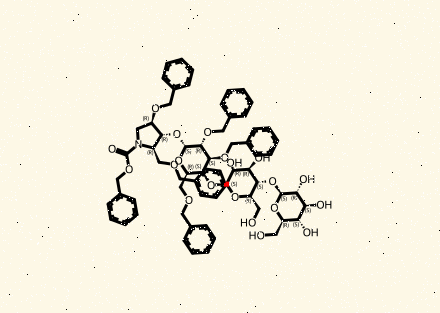 O=C(OCc1ccccc1)N1C[C@@H](OCc2ccccc2)[C@H](O[C@H]2O[C@H](COCc3ccccc3)[C@H](O[C@@H]3O[C@H](CO)[C@@H](O[C@@H]4O[C@H](CO)[C@@H](O)[C@H](O)[C@H]4O)[C@H](O)[C@H]3O)[C@H](OCc3ccccc3)[C@H]2OCc2ccccc2)[C@H]1COCc1ccccc1